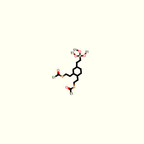 CCO[Si](CCC1CCC(CCSC(=O)CC)C(CCSC(=O)CC)C1)(OCC)OCC